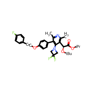 Cc1nc(C)c([C@H](OC(C)(C)C)C(=O)OC(C)C)c(N2CC(F)(F)C2)c1-c1ccc(OCCc2ccc(F)cc2)cc1